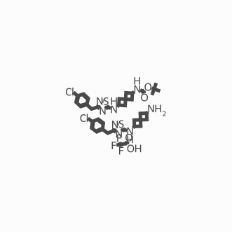 CC(C)(C)OC(=O)NC1CC2(C1)CC(Nc1nc(Cc3ccc(Cl)cc3)ns1)C2.NC1CC2(C1)CC(Nc1nc(Cc3ccc(Cl)cc3)ns1)C2.O=C(O)C(F)(F)F